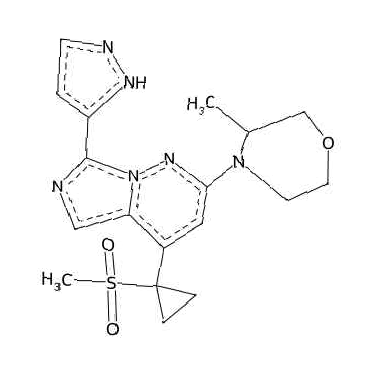 CC1COCCN1c1cc(C2(S(C)(=O)=O)CC2)c2cnc(-c3ccn[nH]3)n2n1